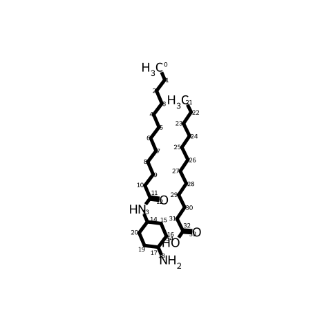 CCCCCCCCCCCC(=O)NC1CCC(N)CC1.CCCCCCCCCCCC(=O)O